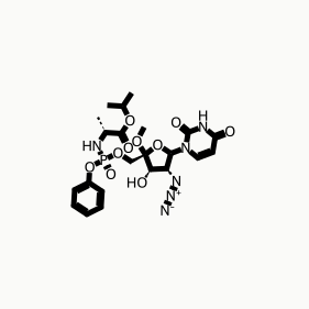 CO[C@]1(COP(=O)(N[C@H](C)C(=O)OC(C)C)Oc2ccccc2)OC(n2ccc(=O)[nH]c2=O)[C@H](N=[N+]=[N-])[C@@H]1O